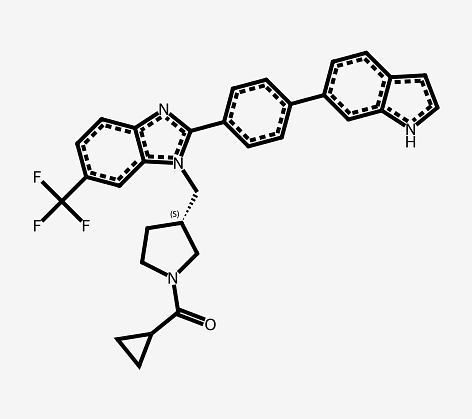 O=C(C1CC1)N1CC[C@H](Cn2c(-c3ccc(-c4ccc5cc[nH]c5c4)cc3)nc3ccc(C(F)(F)F)cc32)C1